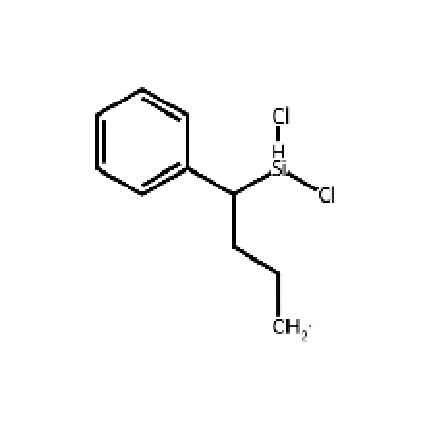 [CH2]CCC(c1ccccc1)[SiH](Cl)Cl